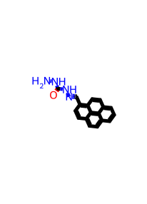 NNC(=O)N/N=C/c1ccc2ccc3cccc4ccc1c2c34